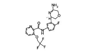 C[C@@]1(c2cc(NC(=O)c3ncccc3OCC(F)(F)F)ccc2F)COCC(N)=N1